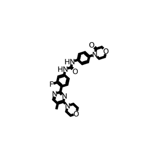 Cc1cnc(-c2ccc(NC(=O)Nc3ccc(N4CCOCC4=O)cc3)cc2F)nc1N1CCOCC1